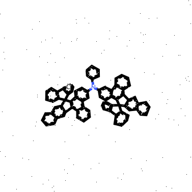 c1ccc(N(c2ccc3c4c(c5ccccc5c3c2)-c2cc3ccccc3cc2C42c3ccccc3-c3ccccc32)c2ccc3c4c(c5ccccc5c3c2)-c2cc3ccccc3cc2C42c3ccccc3-c3ccccc32)cc1